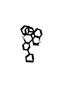 c1ccc(-c2ccc3c(c2)C2(c4ccccc4S3)c3ccccc3Sc3cccc(-c4ccccc4)c32)cc1